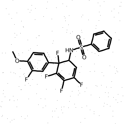 COc1ccc(C2(F)C(F)=C(F)C(F)=CC2NS(=O)(=O)c2ccccc2)cc1F